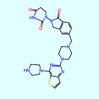 O=C1CCN(N2Cc3cc(CN4CCN(c5nc(N6CCNCC6)c6sccc6n5)CC4)ccc3C2=O)C(=O)N1